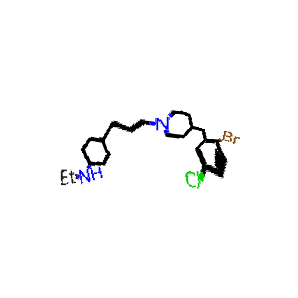 CCNC1CCC(CCCN2CCC(Cc3cc(Cl)ccc3Br)CC2)CC1